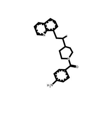 Nc1ccc(C(=O)N2CCC(C(I)Cc3cccc4cccnc34)CC2)cc1